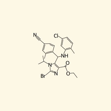 CCOC(=O)c1nc(Br)n(C(C)C)c1C(Nc1cc(Cl)ccc1C)c1ccc(C#N)cc1C